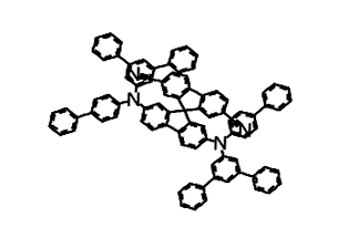 N#Cc1ccc2c(c1)C1(c3cc(C#N)ccc3-2)c2cc(N(c3ccc(-c4ccccc4)cc3)c3cc(-c4ccccc4)cc(-c4ccccc4)c3)ccc2-c2ccc(N(c3ccc(-c4ccccc4)cc3)c3cc(-c4ccccc4)cc(-c4ccccc4)c3)cc21